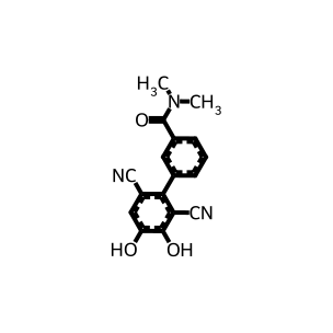 CN(C)C(=O)c1cccc(-c2c(C#N)cc(O)c(O)c2C#N)c1